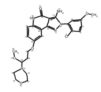 COc1ccc(Cl)c(-n2nc3c(c2N)c(=O)[nH]c2ccc(OCCC(OC)N4CCOCC4)cc23)c1